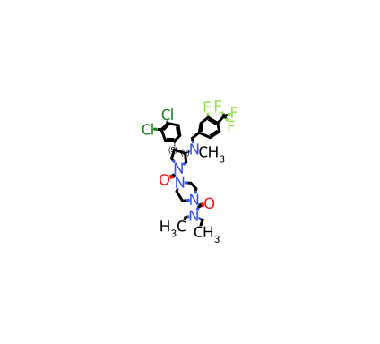 CCN(CC)C(=O)N1CCN(C(=O)N2C[C@H](c3ccc(Cl)c(Cl)c3)[C@@H](N(C)Cc3ccc(C(F)(F)F)c(F)c3)C2)CC1